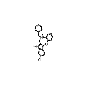 Cn1c2c(c3ccc(Cl)cc31)Oc1ccccc1[N+](C)(Cc1ccccc1)C2